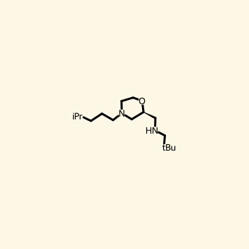 CC(C)CCCN1CCO[C@@H](CNCC(C)(C)C)C1